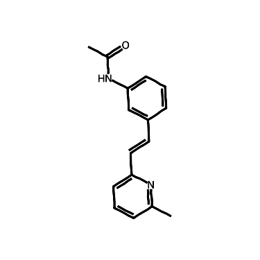 CC(=O)Nc1cccc(/C=C/c2cccc(C)n2)c1